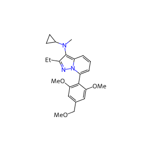 CCc1nn2c(-c3c(OC)cc(COC)cc3OC)cccc2c1N(C)C1CC1